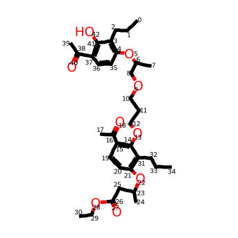 CCCc1c(OC(C)COCCCOc2c(C(C)=O)ccc(OC(C)CC(=O)OCC)c2CCC)ccc(C(C)=O)c1O